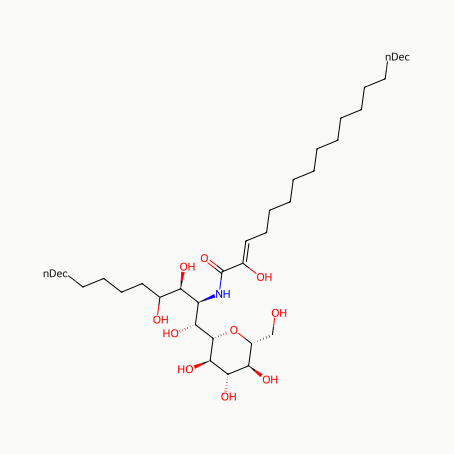 CCCCCCCCCCCCCCCCCCCCCC=C(O)C(=O)N[C@@H]([C@@H](O)[C@@H]1O[C@H](CO)[C@@H](O)[C@H](O)[C@H]1O)[C@H](O)C(O)CCCCCCCCCCCCCC